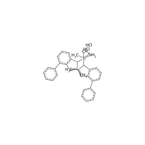 CC1=Cc2c(-c3ccccc3)cccc2[CH]1[Ti]([CH3])([CH3])(=[SiH2])[CH]1C(C)=Cc2c(-c3ccccc3)cccc21.Cl.Cl